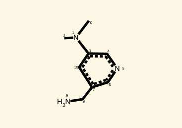 CN(C)c1cncc(CN)c1